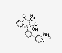 CC(C(=O)c1ccccc1)N(Nc1cccc(-c2ccnc(N)c2)c1)C(=O)O